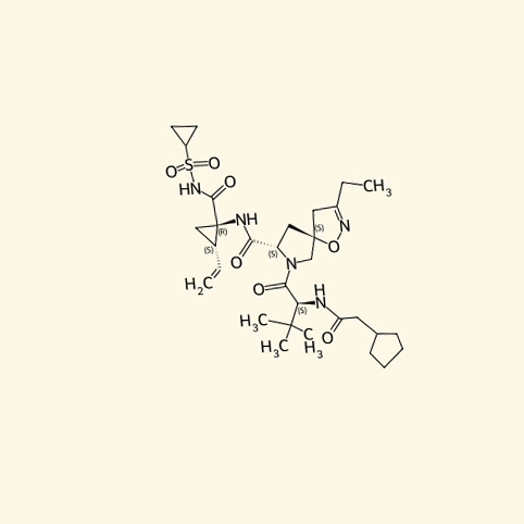 C=C[C@@H]1C[C@]1(NC(=O)[C@@H]1C[C@]2(CC(CC)=NO2)CN1C(=O)[C@@H](NC(=O)CC1CCCC1)C(C)(C)C)C(=O)NS(=O)(=O)C1CC1